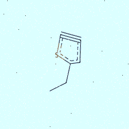 CCc1cc#cs1